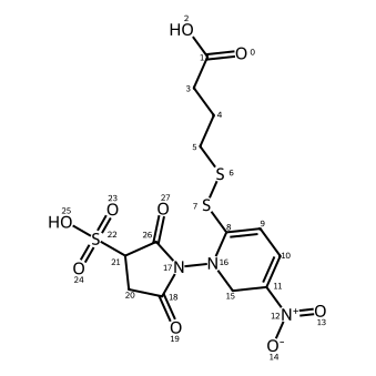 O=C(O)CCCSSC1=CC=C([N+](=O)[O-])CN1N1C(=O)CC(S(=O)(=O)O)C1=O